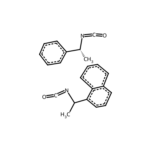 CC(N=C=O)c1cccc2ccccc12.C[C@@H](N=C=O)c1ccccc1